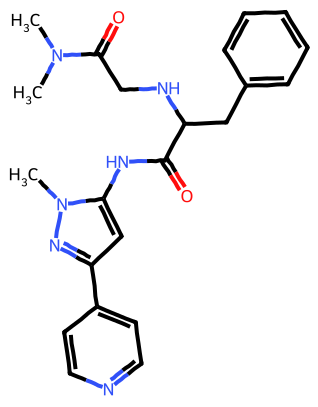 CN(C)C(=O)CNC(Cc1ccccc1)C(=O)Nc1cc(-c2ccncc2)nn1C